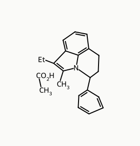 CC(=O)O.CCc1c(C)n2c3c(cccc13)CCC2c1ccccc1